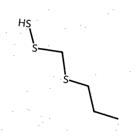 CCCSCSS